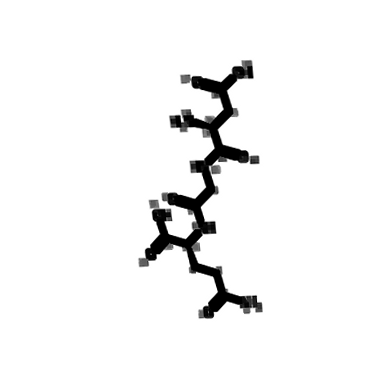 NC(=O)CC[C@H](NC(=O)CNC(=O)[C@@H](N)CC(=O)O)C(=O)O